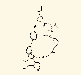 C=CC(=O)N1C[C@@H](C#N)[C@H](C(=O)N(C)[C@H](C(=O)N[C@H]2Cc3cccc(c3)-c3ccc4c(c3)c(c(-c3cccnc3[C@H](C)OC)n4CC)CC(C)(C)COC(=O)[C@@H]3CCCN(N3)C2=O)C(C)C)C1